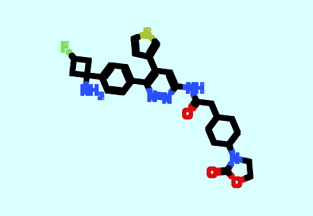 NC1(c2ccc(-c3nnc(NC(=O)CC4CCC(N5CCOC5=O)CC4)cc3-c3ccsc3)cc2)CC(F)C1